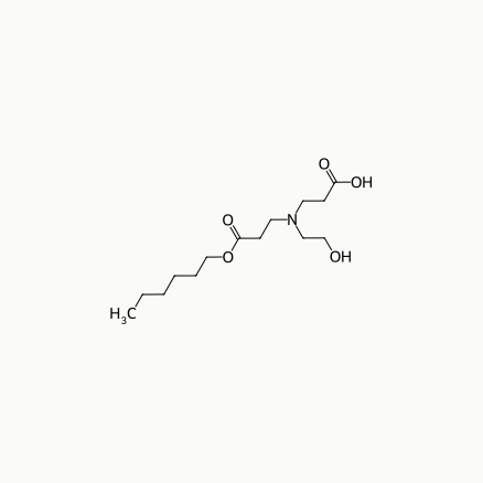 CCCCCCOC(=O)CCN(CCO)CCC(=O)O